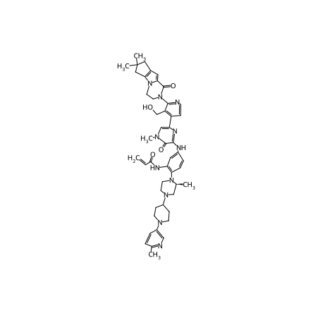 C=CC(=O)Nc1cc(Nc2nc(-c3ccnc(N4CCn5c(cc6c5CC(C)(C)C6)C4=O)c3CO)cn(C)c2=O)ccc1N1CCN(C2CCN(c3ccc(C)nc3)CC2)C[C@@H]1C